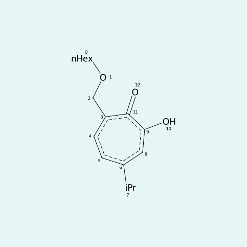 CCCCCCOCc1ccc(C(C)C)cc(O)c1=O